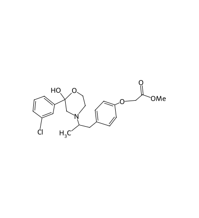 COC(=O)COc1ccc(CC(C)N2CCOC(O)(c3cccc(Cl)c3)C2)cc1